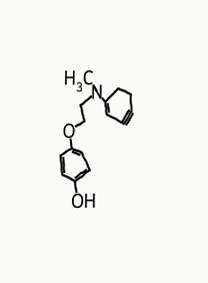 CN(CCOc1ccc(O)cc1)C1=CC#CCC1